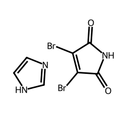 O=C1NC(=O)C(Br)=C1Br.c1c[nH]cn1